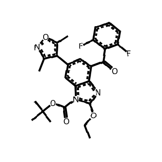 CCOc1nc2c(C(=O)c3c(F)cccc3F)cc(-c3c(C)noc3C)cc2n1C(=O)OC(C)(C)C